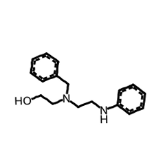 OCCN(CCNc1ccccc1)Cc1ccccc1